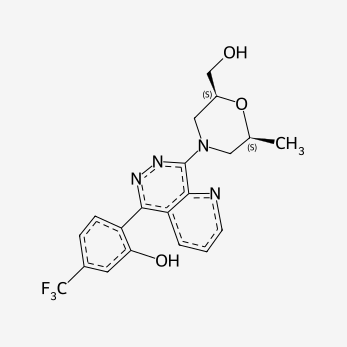 C[C@H]1CN(c2nnc(-c3ccc(C(F)(F)F)cc3O)c3cccnc23)C[C@@H](CO)O1